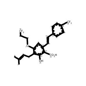 CC(C)=CCc1c(OCCC(F)(F)F)cc(/C=C/c2ccc(C(F)(F)F)cc2)c(C(=O)O)c1O